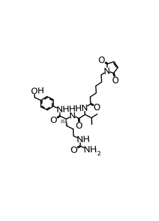 CC(C)C(NC(=O)CCCCCN1C(=O)C=CC1=O)C(=O)N[C@@H](CCCNC(N)=O)C(=O)Nc1ccc(CO)cc1